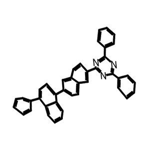 c1ccc(-c2nc(-c3ccccc3)nc(-c3ccc4cc(-c5ccc(-c6ccccc6)c6ccccc56)ccc4c3)n2)cc1